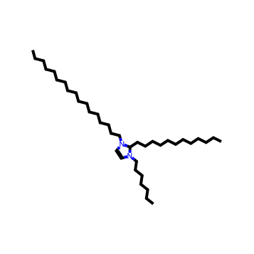 CCCCCCCCCCCCCCCCCN1C=CN(CCCCCCC)C1CCCCCCCCCCCC